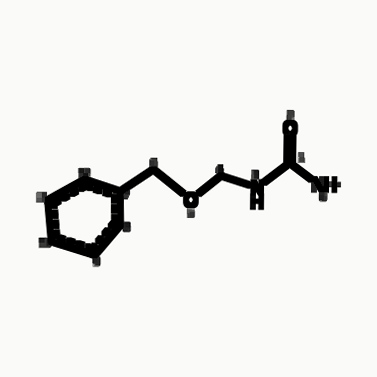 [NH]C(=O)NCOCc1ccccc1